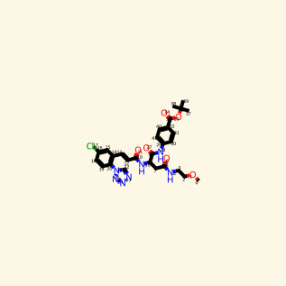 COCCNC(=O)CC(NC(=O)C=Cc1cc(Cl)ccc1-n1cnnn1)C(=O)Nc1ccc(C(=O)OC(C)(C)C)cc1